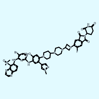 COc1cc(N2CCC(N3CCN(C4CN(c5cc6c(cc5F)C(=O)N(C5CCC(=O)NC5=O)C6=O)C4)CC3)CC2)c(-c2cnn(C)c2)cc1Nc1ncc(Br)c(Nc2ccc3nccnc3c2P(C)(C)=O)n1